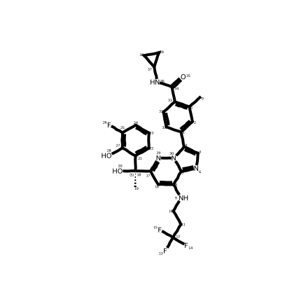 Cc1cc(-c2cnc3c(NCCC(F)(F)F)cc([C@@](C)(O)c4cccc(F)c4O)nn23)ccc1C(=O)NC1CC1